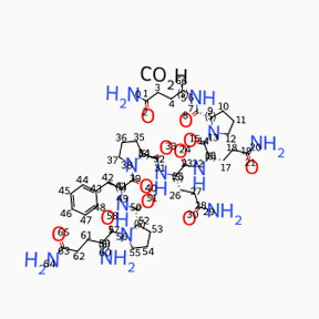 NC(=O)CC[C@H](NC(=O)[C@@H]1CCCN1C(=O)[C@H](CCC(N)=O)NC(=O)[C@H](CCC(N)=O)NC(=O)[C@@H]1CCCN1C(=O)[C@H](Cc1ccccc1)NC(=O)[C@@H]1CCCN1C(=O)[C@@H](N)CCC(N)=O)C(=O)O